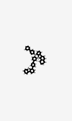 c1ccc(-c2ccc(N(c3ccc(-c4ccc(-c5cccc6c5sc5ccccc56)cc4)cc3)c3cccc4c3oc3c5ccccc5ccc43)cc2)cc1